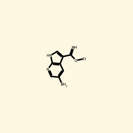 Bc1cnc2[nH]cc(C(=N)OCC)c2c1